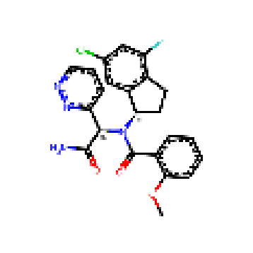 COc1ccccc1C(=O)N([C@@H]1CCc2c(F)cc(Cl)cc21)[C@@H](C(N)=O)c1cccnn1